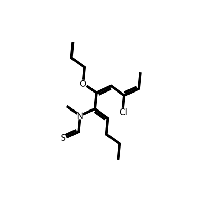 C\C=C(Cl)/C=C(OCCC)\C(=C\CCC)N(C)C=S